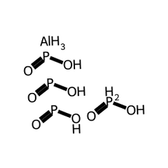 O=PO.O=PO.O=PO.O=[PH2]O.[AlH3]